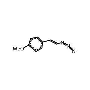 COc1ccc(C=CN=[N+]=[N-])cc1